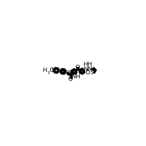 CN1CCN(c2ccc(N/C=C3/C(=O)Nc4cc(C(=O)c5cccc(NC(=O)Nc6cccs6)c5)ccc43)cc2)CC1